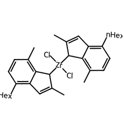 CCCCCCc1ccc(C)c2c1C=C(C)[CH]2[Zr]([Cl])([Cl])[CH]1C(C)=Cc2c(CCCCCC)ccc(C)c21